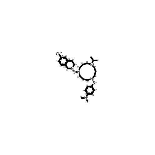 CC(C)N1CCCN(Sc2ccc(N(C)C)cc2)CCCN(SN2CCc3cc(Cl)ccc3C2)CCC1